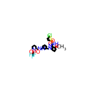 COc1cccc2c1c(NS(=O)(=O)c1ccc(Cl)s1)nn2Cc1cccc(CNC(=O)[C@@H]2CCCCN2OC(=O)C(F)(F)F)c1